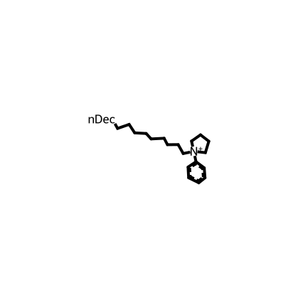 CCCCCCCCCCCCCCCCCCC[N+]1(c2ccccc2)CCCC1